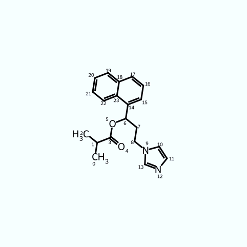 CC(C)C(=O)OC(CCn1ccnc1)c1cccc2ccccc12